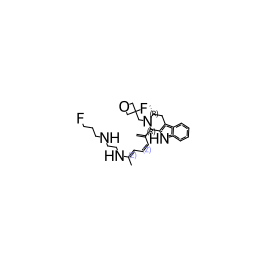 C=C(/C=C\C=C(/C)NCCNCCCF)[C@@H]1c2[nH]c3ccccc3c2C[C@@H](C)N1CC1(F)COC1